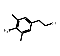 Cc1cc(CCS)cc(C)c1N